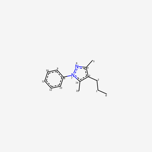 CCCc1c(C)nn(-c2ccccc2)c1C